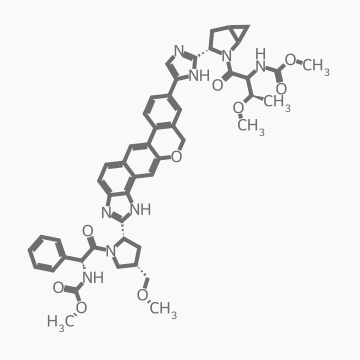 COC[C@H]1C[C@@H](c2nc3ccc4cc5c(cc4c3[nH]2)OCc2cc(-c3cnc([C@@H]4CC6CC6N4C(=O)C(NC(=O)OC)[C@@H](C)OC)[nH]3)ccc2-5)N(C(=O)[C@H](NC(=O)OC)c2ccccc2)C1